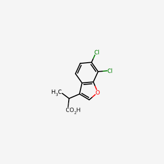 CC(C(=O)O)c1coc2c(Cl)c(Cl)ccc12